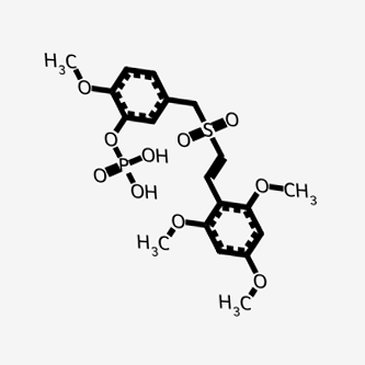 COc1cc(OC)c(/C=C/S(=O)(=O)Cc2ccc(OC)c(OP(=O)(O)O)c2)c(OC)c1